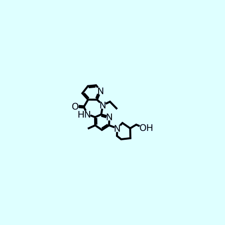 CCN1c2ncccc2C(=O)Nc2c(C)cc(N3CCCC(CO)C3)nc21